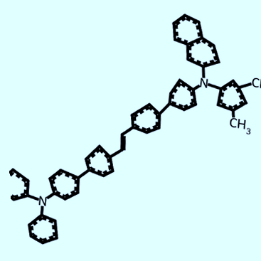 Cc1cc(C)cc(N(c2ccc(-c3ccc(/C=C/c4ccc(-c5ccc(N(c6ccccc6)c6ccccc6)cc5)cc4)cc3)cc2)c2ccc3ccccc3c2)c1